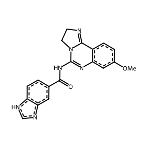 COc1ccc2c(c1)N=C(NC(=O)c1ccc3[nH]cnc3c1)N1CCN=C21